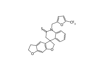 FC(F)(F)c1ccc(CN2C(=S)CC3(COc4cc5c(cc43)CCO5)c3ccccc32)o1